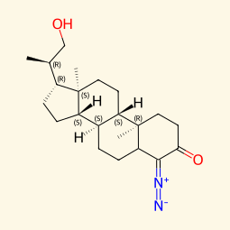 C[C@@H](CO)[C@H]1CC[C@H]2[C@@H]3CCC4C(=[N+]=[N-])C(=O)CC[C@]4(C)[C@H]3CC[C@]12C